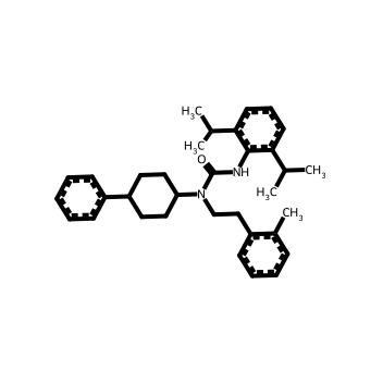 Cc1ccccc1CCN(C(=O)Nc1c(C(C)C)cccc1C(C)C)C1CCC(c2ccccc2)CC1